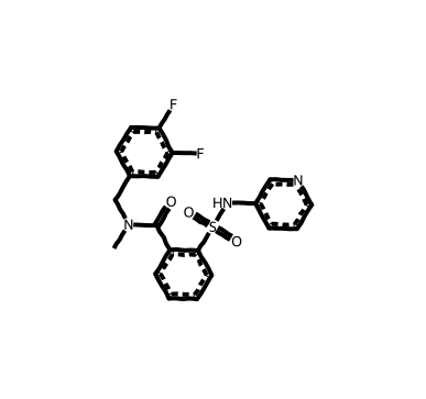 CN(Cc1ccc(F)c(F)c1)C(=O)c1ccccc1S(=O)(=O)Nc1cccnc1